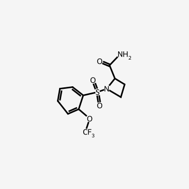 NC(=O)C1CCN1S(=O)(=O)c1ccccc1OC(F)(F)F